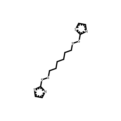 c1csc(SSCCCCCCSSc2nccs2)n1